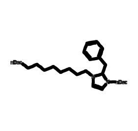 CCCCCCCCCCCCCCCCCCN1C=CN(CCCCCCCCCC)C1Cc1ccccc1